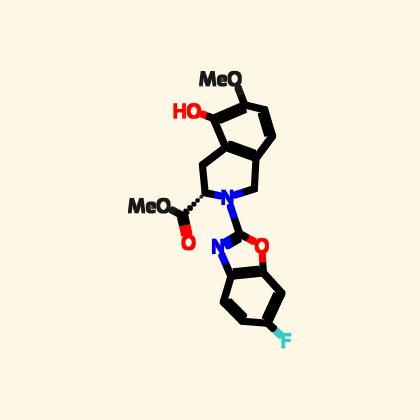 COC(=O)[C@@H]1Cc2c(ccc(OC)c2O)CN1c1nc2ccc(F)cc2o1